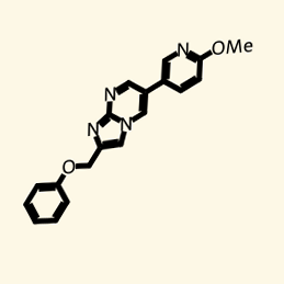 COc1ccc(-c2cnc3nc(COc4ccccc4)cn3c2)cn1